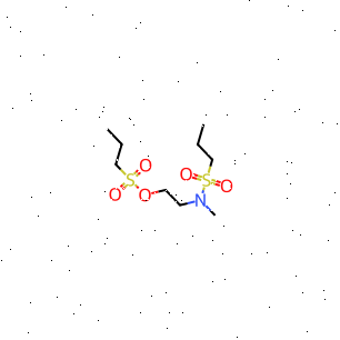 CCCS(=O)(=O)OCCN(C)S(=O)(=O)CCC